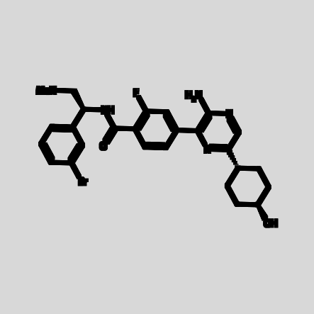 CNC[C@@H](NC(=O)c1ccc(-c2nc([C@H]3CC[C@H](O)CC3)cnc2N)cc1F)c1cccc(Br)c1